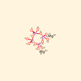 O=P1([O-])OP(=O)([O-])OP(=O)([O-])OP(=O)([O-])O1.[Mg+2].[Mg+2]